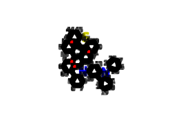 c1ccc(-c2ccccc2N(c2ccc3c(c2)c2ccccc2n3-c2ccccc2)c2ccc3c4c(cccc24)C2(c4ccccc4Sc4ccccc42)c2ccccc2-3)cc1